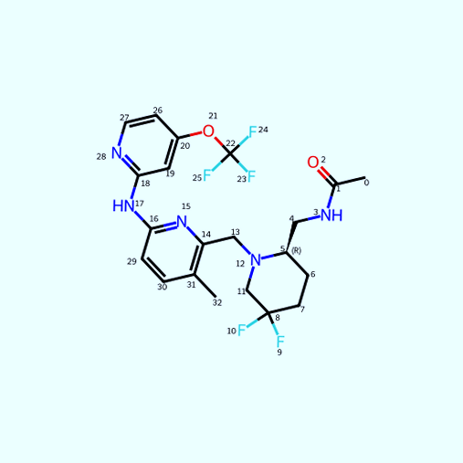 CC(=O)NC[C@H]1CCC(F)(F)CN1Cc1nc(Nc2cc(OC(F)(F)F)ccn2)ccc1C